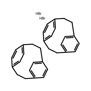 Br.Br.c1cc2ccc1CCc1ccc(cc1)CC2.c1cc2ccc1CCc1ccc(cc1)CC2